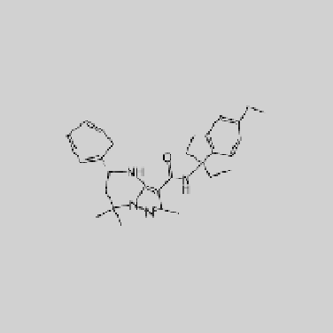 CCc1ccc(C(CC)(CC)NC(=O)c2c(C)nn3c2N[C@@H](C2=CC=CC=CC2)CC3(C)C)cc1